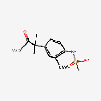 COC(=O)C(C)(C)c1ccc(NS(C)(=O)=O)c(OC)c1